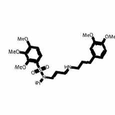 COc1ccc(CCCNCCCN(C(C)C)S(=O)(=O)c2ccc(OC)c(OC)c2OC)cc1OC